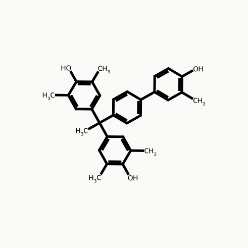 Cc1cc(-c2ccc(C(C)(c3cc(C)c(O)c(C)c3)c3cc(C)c(O)c(C)c3)cc2)ccc1O